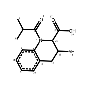 CC(C)C(=O)N1c2ccccc2CC(S)C1C(=O)O